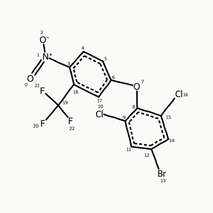 O=[N+]([O-])c1ccc(Oc2c(Cl)cc(Br)cc2Cl)cc1C(F)(F)F